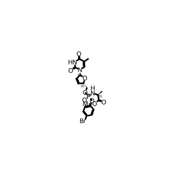 COC(=O)[C@H](C)N[P@@](=O)(OC[C@@H]1C=C[C@H](n2cc(C)c(=O)[nH]c2=O)O1)Oc1ccc(Br)cc1